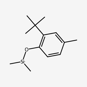 Cc1ccc(O[Si](C)C)c(C(C)(C)C)c1